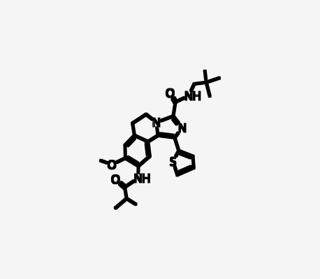 COc1cc2c(cc1NC(=O)C(C)C)-c1c(-c3cccs3)nc(C(=O)NCC(C)(C)C)n1CC2